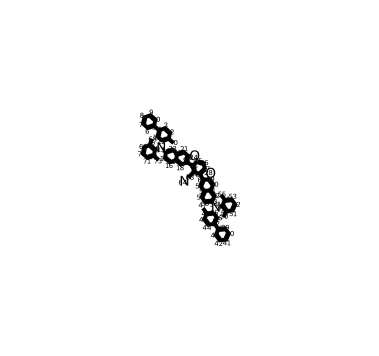 Cc1ccc(-c2ccccc2)cc1N(c1ccc2cc3c(cc2c1)oc1cc2oc4cc5cc(N(c6cc(-c7ccccc7)ccc6C)c6c(C)cccc6C)ccc5cc4c2c(C#N)c13)c1c(C)cccc1C